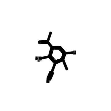 Bc1c(C(C)=O)cc(Cl)c(C)c1C#N